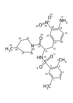 Cc1ccc(C)c(S(=O)(=O)NC(Cc2ccc(N)c([N+](=O)[O-])c2)C(=O)N2CCC(C)CC2)c1